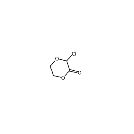 O=C1OCCOC1Cl